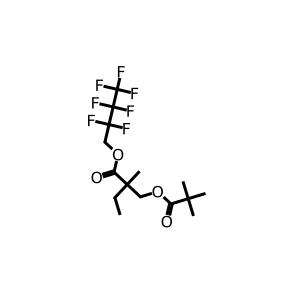 CCC(C)(COC(=O)C(C)(C)C)C(=O)OCC(F)(F)C(F)(F)C(F)(F)F